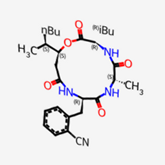 CCCC[C@H](C)[C@@H]1CC(=O)N[C@H](Cc2ccccc2C#N)C(=O)N[C@@H](C)C(=O)N[C@H]([C@H](C)CC)C(=O)O1